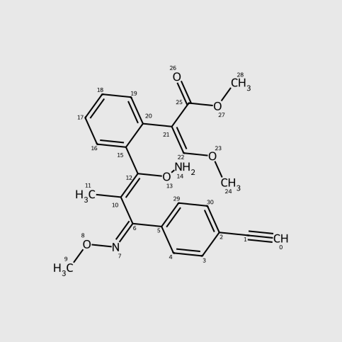 C#Cc1ccc(C(=NOC)C(C)=C(ON)c2ccccc2C(=COC)C(=O)OC)cc1